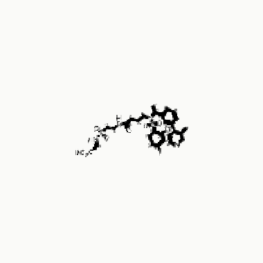 Cc1cnccc1-c1cccc(C(C)N(CCCC(=O)NCCS(=O)(=O)NCC(=O)O)S(=O)(=O)c2ccc(F)cc2C(F)(F)F)c1